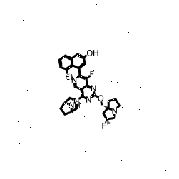 CCc1cccc2cc(O)cc(-c3ncc4c(N5CC6CCC(C5)N6)nc(OC[C@]56CCCN5C[C@@H](F)C6)nc4c3F)c12